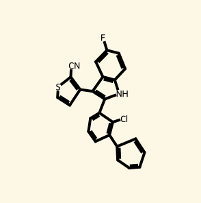 N#Cc1sccc1-c1c(-c2cccc(-c3ccccc3)c2Cl)[nH]c2ccc(F)cc12